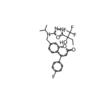 CCC(O)(c1nnc(N(Cc2ccc3c(-c4ccc(F)cc4)cc(=O)oc3c2)C(C)C)o1)C(F)(F)F